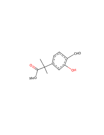 COC(=O)C(C)(C)c1ccc(C=O)c(O)c1